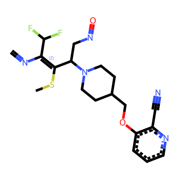 C=N/C(=C(\SC)C(CN=O)N1CCC(COc2cccnc2C#N)CC1)C(F)F